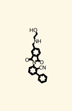 N#Cc1c(-c2ccccc2)cccc1N1C(=O)c2ccc(CNCCO)cc2C1=O